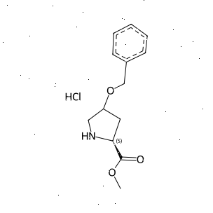 COC(=O)[C@@H]1CC(OCc2ccccc2)CN1.Cl